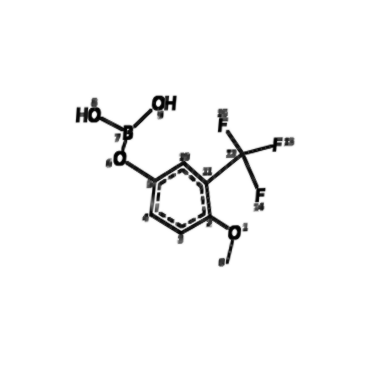 COc1ccc(OB(O)O)cc1C(F)(F)F